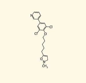 CN1CC=C(CCCCCOc2c(Cl)cc(-c3cccnc3)cc2Cl)O1